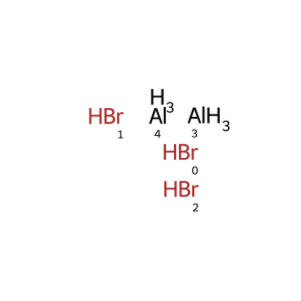 Br.Br.Br.[AlH3].[AlH3]